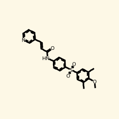 COc1c(C)cc(S(=O)(=O)c2ccc(NC(=O)C=Cc3cccnc3)cc2)cc1C